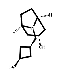 CC(C)[C@H]1C[C@@H](CN2[C@@H]3CC[C@H]2C[C@H](O)C3)C1